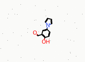 O=Cc1cc(-n2cccc2)ccc1O